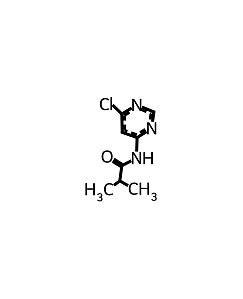 CC(C)C(=O)Nc1cc(Cl)ncn1